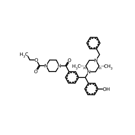 CCOC(=O)N1CCN(C(=O)c2cccc(C(c3cccc(O)c3)N3C[C@@H](C)N(Cc4ccccc4)C[C@H]3C)c2)CC1